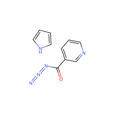 [N-]=[N+]=NC(=O)c1cccnc1.c1cc[nH]c1